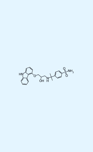 CC(C)(NCC(O)COc1cccc2[nH]c3ccccc3c12)c1ccc(S(N)(=O)=O)cc1